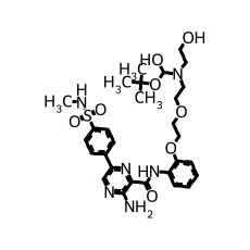 CNS(=O)(=O)c1ccc(-c2cnc(N)c(C(=O)Nc3ccccc3OCCOCCN(CCO)C(O)OC(C)(C)C)n2)cc1